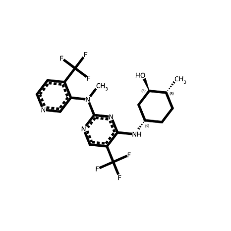 C[C@@H]1CC[C@H](Nc2nc(N(C)c3cnccc3C(F)(F)F)ncc2C(F)(F)F)C[C@H]1O